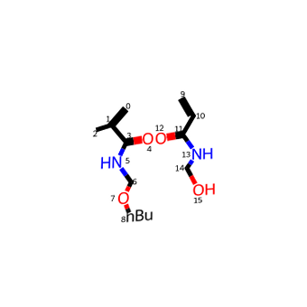 C=C(C)C(=O)NCOCCCC.C=CC(=O)NCO